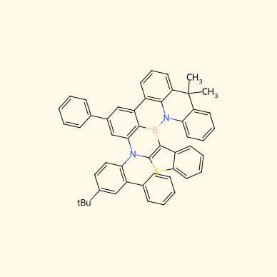 CC(C)(C)c1ccc(N2c3cc(-c4ccccc4)cc4c3B(c3c2sc2ccccc32)N2c3ccccc3C(C)(C)c3cccc-4c32)c(-c2ccccc2)c1